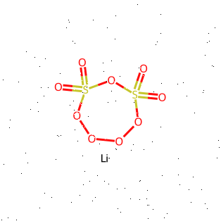 O=S1(=O)OOOOS(=O)(=O)O1.[Li]